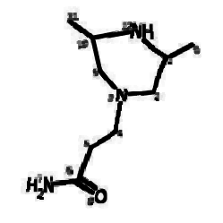 CC1CN(CCC(N)=O)CC(C)N1